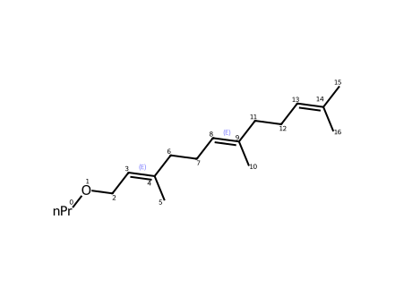 CCCOC/C=C(\C)CC/C=C(\C)CCC=C(C)C